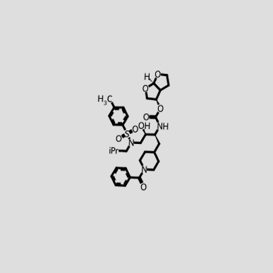 Cc1ccc(S(=O)(=O)N(CC(C)C)C[C@@H](O)[C@H](CC2CCN(C(=O)c3ccccc3)CC2)NC(=O)O[C@H]2CO[C@H]3OCCC32)cc1